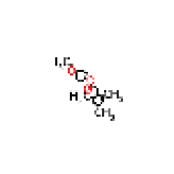 CCOC1CCC(OC(=O)Cc2c(C)cc(C)cc2C)CC1